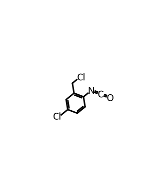 O=C=Nc1ccc(Cl)cc1CCl